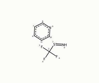 N=[S+]C(F)(F)F.c1ccncc1